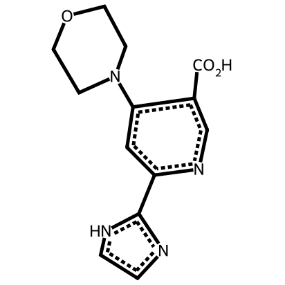 O=C(O)c1cnc(-c2ncc[nH]2)cc1N1CCOCC1